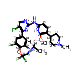 COc1nc(Nc2ncc(F)c(-c3cc(F)c4c(c3)N(C(C)C)CC(F)(F)O4)n2)ccc1C1CCN(C)CC1